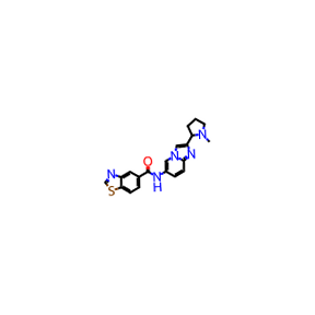 CN1CCCC1c1cn2cc(NC(=O)c3ccc4scnc4c3)ccc2n1